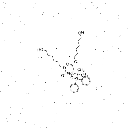 CC(C)(C)[Si](OC(CC(=O)OCCCCCCO)C(=O)OCCCCCCO)(c1ccccc1)c1ccccc1